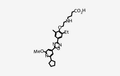 CCc1cc(-c2noc(-c3cc(OC)nc(C4CCCC4)c3)n2)cc(C)c1OCCNCCCC(=O)O